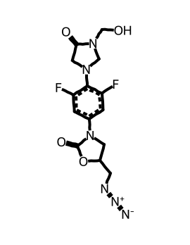 [N-]=[N+]=NCC1CN(c2cc(F)c(N3CC(=O)N(CO)C3)c(F)c2)C(=O)O1